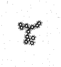 c1ccc(-c2c(-c3ccccc3)c3cc(-c4ccc(N(c5ccc(-c6ccc7ccccc7c6)cc5)c5cccc(-c6cccc7ccccc67)c5)cc4)ccc3c3ccccc23)cc1